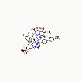 [2H]C1=C(SCc2cccc(F)c2F)N(CC(=O)N(Cc2ccc(-c3ccc(C(F)(F)F)cc3)cc2)C2([2H])C([2H])([2H])C([2H])([2H])N(CCOC([2H])([2H])[2H])C([2H])([2H])C2([2H])[2H])c2c([2H])c([2H])c(C)c([2H])c2C1O